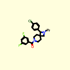 CC(C)N1CC2(CCN(C(=O)c3cc(F)cc(F)c3)CC2)C1c1ccc(Cl)cc1